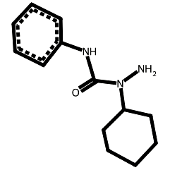 NN(C(=O)Nc1ccccc1)C1CCCCC1